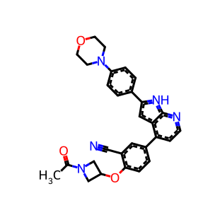 CC(=O)N1CC(Oc2ccc(-c3ccnc4[nH]c(-c5ccc(N6CCOCC6)cc5)cc34)cc2C#N)C1